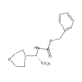 O=C(N[C@H](C(=O)O)C1CCOCC1)OCc1ccccc1